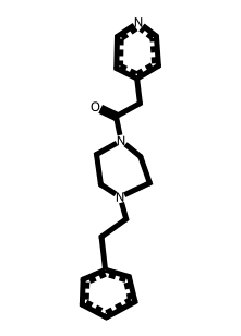 O=C(Cc1ccncc1)N1CCN(CCc2ccccc2)CC1